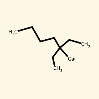 CCCC[C]([Ga])(CC)CC